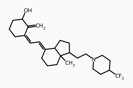 C=C1/C(=C\C=C2/CCCC3(C)C(CCN4CCC(C(F)(F)F)CC4)CCC23)CCCC1O